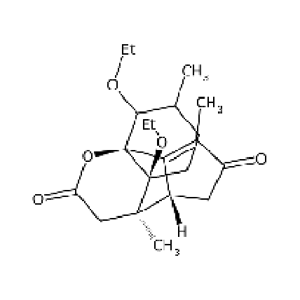 CCOC1C(C)CC[C@@]2(OCC)[C@]13OC(=O)C[C@]2(C)[C@H]1CC(=O)C(C)=C13